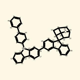 c1ccc(-c2ccc(-n3c4ccccc4c4ccc(-c5ccc6c(c5)-c5ccccc5C65C6CC7CC8CC5C86C7)cc43)cc2)cc1